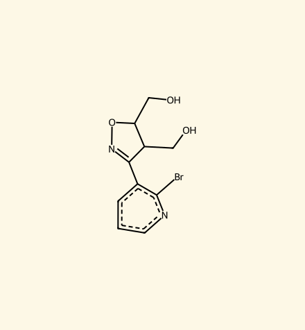 OCC1ON=C(c2cccnc2Br)C1CO